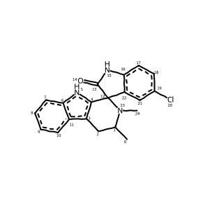 CC1Cc2c([nH]c3ccccc23)C2(C(=O)Nc3ccc(Cl)cc32)N1C